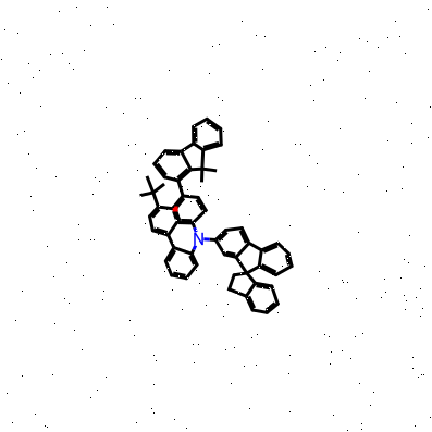 CC(C)(C)c1ccc(-c2ccccc2N(c2ccc(-c3cccc4c3C(C)(C)c3ccccc3-4)cc2)c2ccc3c(c2)C2(CCc4ccccc42)c2ccccc2-3)cc1